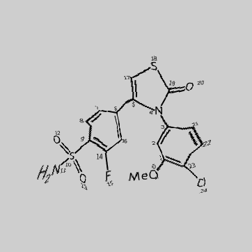 COc1cc(-n2c(-c3ccc(S(N)(=O)=O)c(F)c3)csc2=O)ccc1Cl